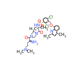 Cc1cc(C)c2cccc(OCc3c(Cl)ccc(S(=O)(=O)NC(C)(C)C(=O)N4CCN(C(=O)[C@@H](N)CCCN(C)C)CC4)c3Cl)c2n1